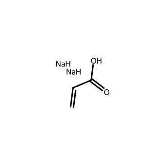 C=CC(=O)O.[NaH].[NaH]